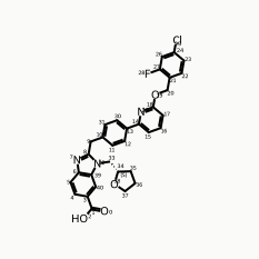 O=C(O)c1ccc2nc(Cc3ccc(-c4cccc(OCc5ccc(Cl)cc5F)n4)cc3)n(C[C@@H]3CCCO3)c2c1